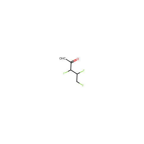 O=CC(=O)C(F)C(F)CF